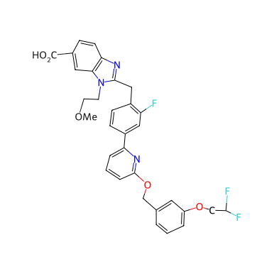 COCCn1c(Cc2ccc(-c3cccc(OCc4cccc(OCC(F)F)c4)n3)cc2F)nc2ccc(C(=O)O)cc21